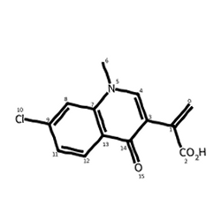 C=C(C(=O)O)c1cn(C)c2cc(Cl)ccc2c1=O